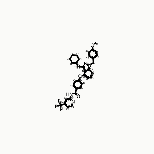 COc1ccc(Cn2nc(NC3CCCCC3)c3c(Oc4ccc(C(=O)Nc5cc(C(F)(F)F)ccn5)cc4)ccnc32)cc1